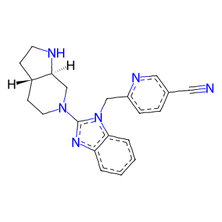 N#Cc1ccc(Cn2c(N3CC[C@@H]4CCN[C@H]4C3)nc3ccccc32)nc1